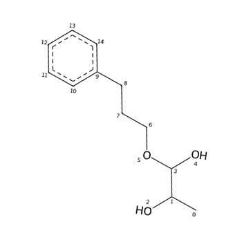 CC(O)C(O)OCCCc1ccccc1